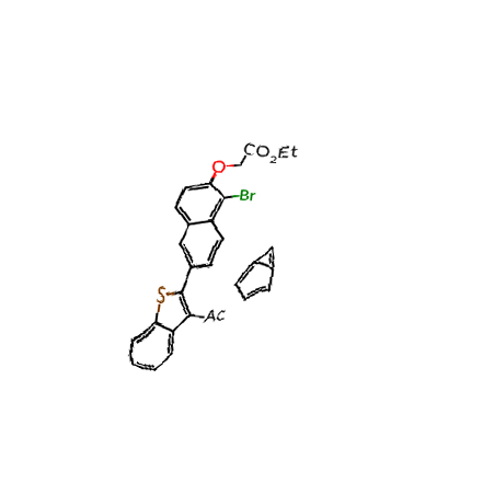 CCOC(=O)COc1ccc2cc(-c3sc4ccccc4c3C(C)=O)ccc2c1Br.c1cc2cc-2c1